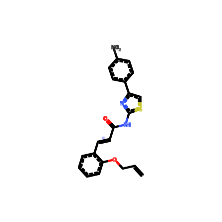 C=CCOc1ccccc1/C=C/C(=O)Nc1nc(-c2ccc([N+](=O)[O-])cc2)cs1